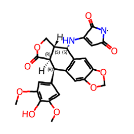 COc1cc([C@@H]2c3cc4c(cc3[C@@H](NC3=CC(=O)[N]C3=O)[C@H]3COC(=O)[C@H]23)OCO4)cc(OC)c1O